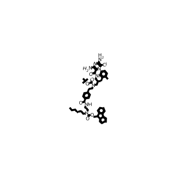 CCCCCCN(CCNC(=O)c1ccc(CCN(CC(CNC(=O)c2nc(Cl)c(N)nc2N)Cc2ccccc2C)C(=O)OC(C)(C)C)cc1)C(=O)OCC1c2ccccc2-c2ccccc21